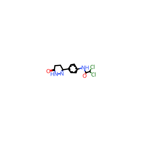 O=C1CCC(c2ccc(NC(=O)C(Cl)Cl)cc2)=NN1